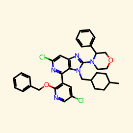 CC1CCC(Cn2c(N3CCOCC3c3ccccc3)nc3cc(Cl)nc(-c4cc(Cl)cnc4OCc4ccccc4)c32)CC1